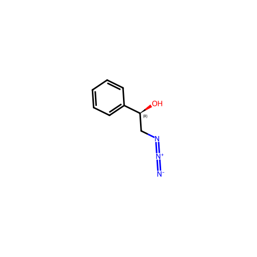 [N-]=[N+]=NC[C@H](O)c1ccccc1